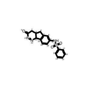 O=C1CC2Cc3cc(NS(=O)(=O)c4ccccc4)ccc3C2N=N1